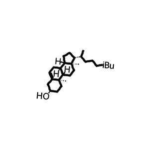 CCC(C)CCCC(C)[C@H]1CC[C@H]2[C@@H]3CC=C4C[C@@H](O)CC[C@]4(C)[C@H]3CC[C@]12C